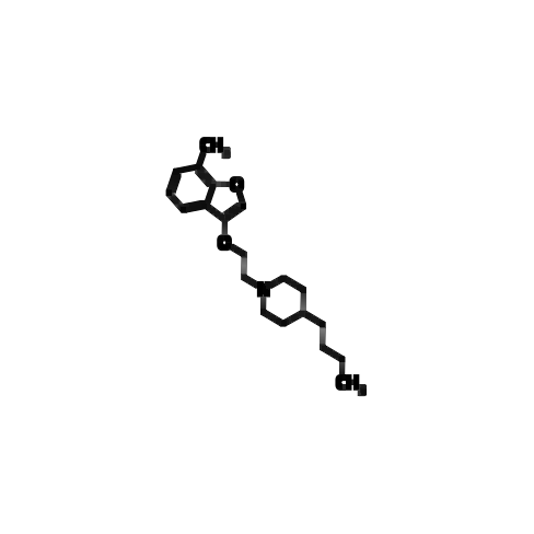 CCCCC1CCN(CCOc2coc3c(C)cccc23)CC1